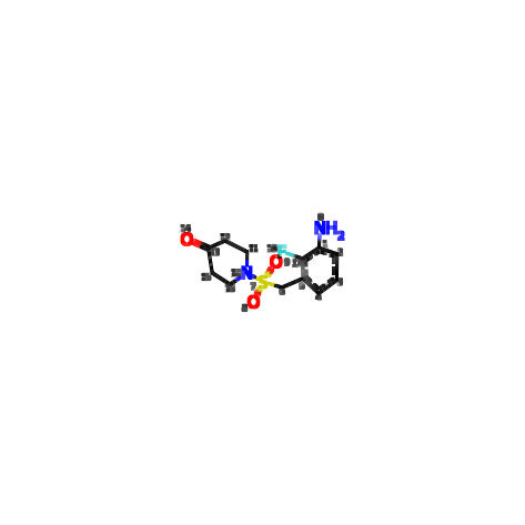 Nc1cccc(CS(=O)(=O)N2CCC(=O)CC2)c1F